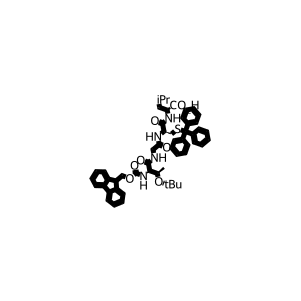 CC(C)C[C@H](NC(=O)[C@H](CSC(c1ccccc1)(c1ccccc1)c1ccccc1)NC(=O)CNC(=O)[C@@H](NC(=O)OCC1c2ccccc2-c2ccccc21)[C@@H](C)OC(C)(C)C)C(=O)O